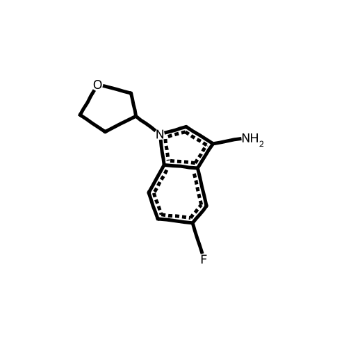 Nc1cn(C2CCOC2)c2ccc(F)cc12